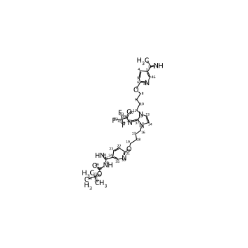 CC(=N)c1ccc(OCCCCn2ccn(CCCCOc3ccc(C(=N)NC(=O)OC(C)(C)C)cn3)c2=NC(=O)C(F)(F)F)nc1